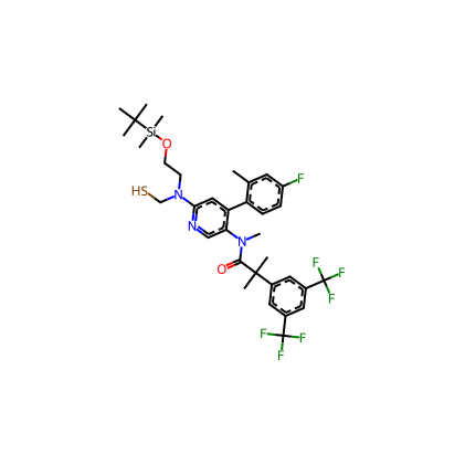 Cc1cc(F)ccc1-c1cc(N(CS)CCO[Si](C)(C)C(C)(C)C)ncc1N(C)C(=O)C(C)(C)c1cc(C(F)(F)F)cc(C(F)(F)F)c1